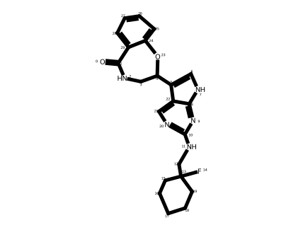 O=C1NCC(c2c[nH]c3nc(NCC4(F)CCCCC4)ncc23)Oc2ccccc21